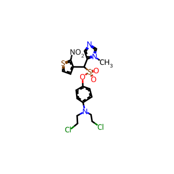 Cn1cncc1C(c1ccsc1[N+](=O)[O-])S(=O)(=O)Oc1ccc(N(CCCl)CCCl)cc1